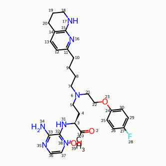 CC(=O)[C@H](CCN(CCCCc1ccc2c(n1)NCCC2)CCOc1ccc(F)cc1)Nc1c(N)ncc[n+]1O